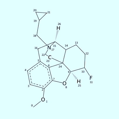 COc1ccc2c3c1O[C@@H]1C(F)CCC4[C@H](C2)N(CC2CC2)CCC341